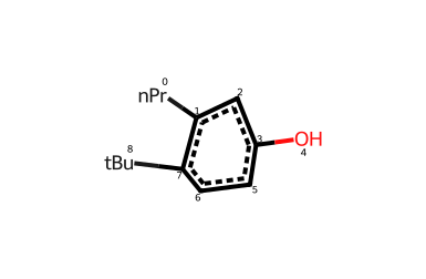 CCCc1cc(O)ccc1C(C)(C)C